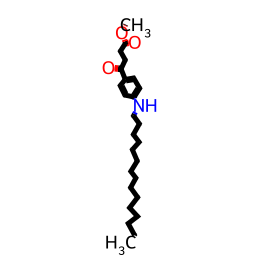 CCCCCCCCCCCCCCCNc1ccc(C(=O)CCC(=O)OC)cc1